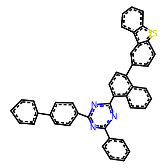 c1ccc(-c2ccc(-c3nc(-c4ccccc4)nc(-c4ccc(-c5ccc6sc7ccccc7c6c5)c5ccccc45)n3)cc2)cc1